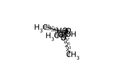 CCCCCCCCCCC(CCCCCCCCCC)(C(=O)OCC)P(=O)(O)O